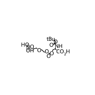 CC(C)(C)OC(=O)NC(COC(=O)OCCOCCON(O)O)C(=O)O